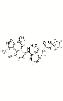 Cc1cc([C@@H](C)Oc2cc(F)ccc2Nc2ncnn3cc(C(=O)N=S4(=O)CCCC4)c(C)c23)on1